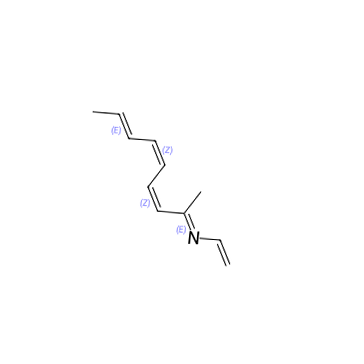 C=C/N=C(C)/C=C\C=C/C=C/C